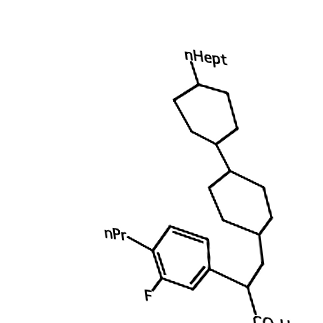 CCCCCCCC1CCC(C2CCC(CC(C(=O)O)c3ccc(CCC)c(F)c3)CC2)CC1